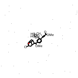 COC(=O)C#Cc1ccc(C(OC)=C2C3CC4CC2CC(Cl)(C4)C3)cc1OP(C)(O)(O)O